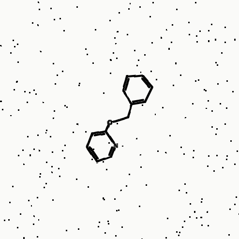 [c]1ccc(OCc2ccccc2)nc1